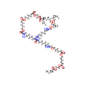 C=CCOCC(CC)(COCC=C)COCNCCCCCCN1CN(CCCCCCNCOCCCCCC(=O)OCCCCCC(=O)OCCOC(=O)C=C)C(=O)N(CCCCCCNC(=O)OCCCCCC(=O)OCCCCCC(=O)OCCOC(=O)C=C)C1